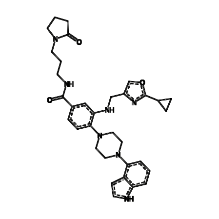 O=C(NCCCN1CCCC1=O)c1ccc(N2CCN(c3cccc4[nH]ccc34)CC2)c(NCc2coc(C3CC3)n2)c1